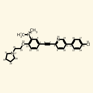 CN(C)c1cc(C#Cc2ccc(-c3ccc(Cl)cc3)cn2)ccc1OCCN1CCCC1